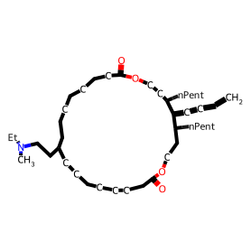 C=C=C=C=C1C(CCCCC)CCOC(=O)CCCCCCCC(CCN(C)CC)CCCCCCCC(=O)OCCC1CCCCC